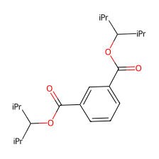 CC(C)C(OC(=O)c1cccc(C(=O)OC(C(C)C)C(C)C)c1)C(C)C